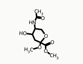 COC(=O)C1(OC)CC(O)C(NC(C)=O)CO1